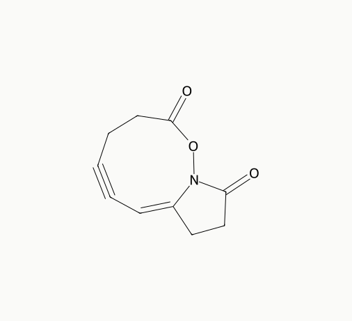 O=C1CCC#C/C=C2/CCC(=O)N2O1